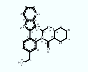 C[CH]c1ccc(-c2cc3ncccc3o2)c(N(C(=O)C2CCCCC2)C(C)C)c1